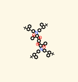 CC(C)(C)c1ccc(-c2ccc(N(c3ccc(-c4ccc(C(C)(C)C)c5ccccc45)cc3)c3cc4oc5cc6c(cc5c4c4c3oc3ccccc34)oc3cc(N(c4ccc(-c5ccc(C(C)(C)C)c7ccccc57)cc4)c4ccc(-c5ccc(C(C)(C)C)c7ccccc57)cc4)c4oc5ccccc5c4c36)cc2)c2ccccc12